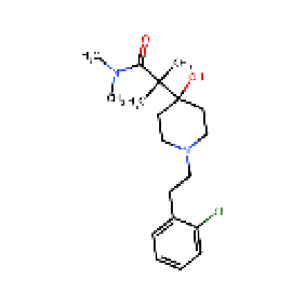 CN(C)C(=O)C(C)(C)C1(O)CCN(CCc2ccccc2Cl)CC1